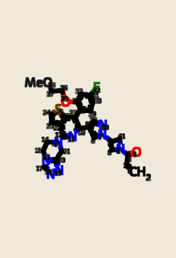 C=CC(=O)N1CC(n2cc(-c3nc(N4CCn5cnnc5C4)c4ccsc4c3-c3ccc(F)cc3OCCOC)cn2)C1